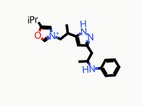 CC(Cc1cc(C(C)C[n+]2coc(C(C)C)c2)[nH]n1)Nc1ccccc1